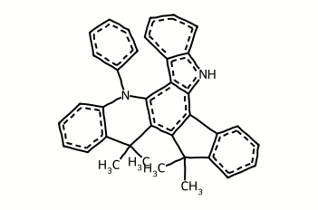 CC1(C)c2ccccc2-c2c1c1c(c3c2[nH]c2ccccc23)N(c2ccccc2)c2ccccc2C1(C)C